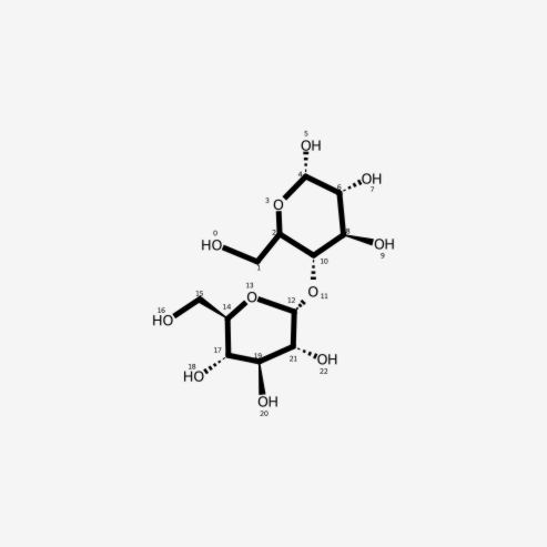 OCC1O[C@H](O)[C@H](O)[C@@H](O)[C@@H]1O[C@H]1O[C@H](CO)[C@@H](O)[C@H](O)[C@H]1O